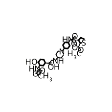 COC(=O)c1sccc1S(=O)(=O)Nc1ccc(N2CCC(NC[C@H](O)c3ccc(O)c(NS(C)(=O)=O)c3)CC2)cc1